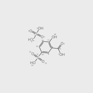 CS(=O)(=O)O.O=C(O)c1cc(S(=O)(=O)O)ccc1O